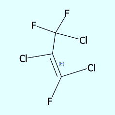 F/C(Cl)=C(\Cl)C(F)(F)Cl